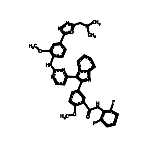 COc1cc(-c2nnc(CN(C)C)o2)ccc1Nc1nccc(-c2c(-c3ccc(OC)c(C(=O)Nc4c(F)cccc4F)c3)nc3ccccn23)n1